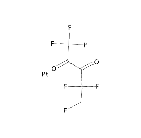 O=C(C(=O)C(F)(F)CF)C(F)(F)F.[Pt]